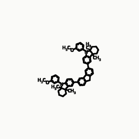 COc1cccc(N2c3ccc(-c4ccc5c(c4)-c4cc(-c6ccc7c(c6)C6(C)CCCCC6(C)N7c6cccc(OC)c6)ccc4C5)cc3C3(C)CCCCC23C)c1